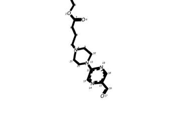 CCOC(=O)CCCN1CCN(c2cnc(C=O)cn2)CC1